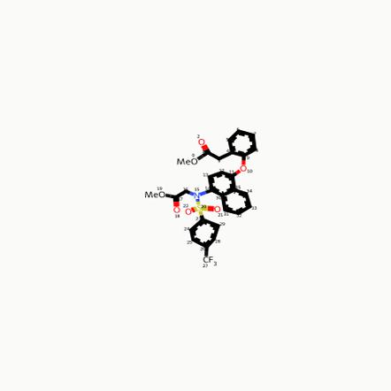 COC(=O)Cc1ccccc1Oc1ccc(N(CC(=O)OC)S(=O)(=O)c2ccc(C(F)(F)F)cc2)c2ccccc12